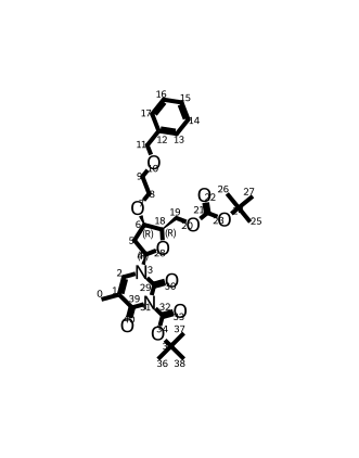 Cc1cn([C@H]2C[C@@H](OCCOCc3ccccc3)[C@@H](COC(=O)OC(C)(C)C)O2)c(=O)n(C(=O)OC(C)(C)C)c1=O